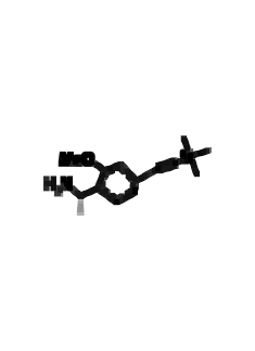 COc1cc(C#C[Si](C)(C)C)ccc1[C@H](C)N